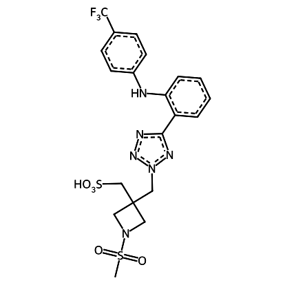 CS(=O)(=O)N1CC(Cn2nnc(-c3ccccc3Nc3ccc(C(F)(F)F)cc3)n2)(CS(=O)(=O)O)C1